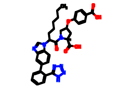 CCCCCCC(C(=O)N1CC(Oc2ccc(C(=O)O)cc2)C[C@H]1C(=O)O)n1cnc2cc(-c3ccccc3-c3nnn[nH]3)ccc21